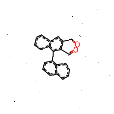 O=Cc1cc2ccccc2c(-c2cccc3ccccc23)c1C=O